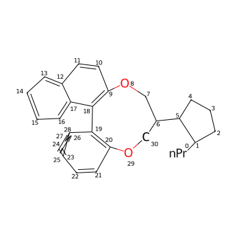 CCCC1CCCC1C1COc2ccc3ccccc3c2-c2c(ccc3ccccc23)OC1